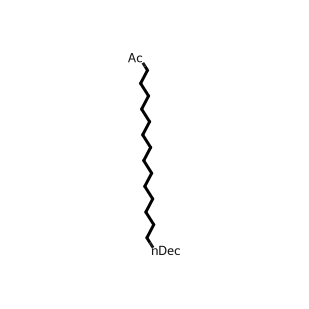 CCCCCCCCCCCCCCCCCCCCCCCCC(C)=O